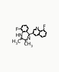 C[C@@H]1N=C(c2cnc3c(F)cccc3c2)c2cccc(F)c2N[C@@H]1C